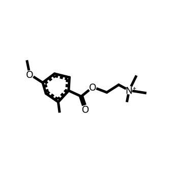 COc1ccc(C(=O)OCC[N+](C)(C)C)c(C)c1